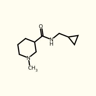 CN1CCCC(C(=O)NCC2CC2)C1